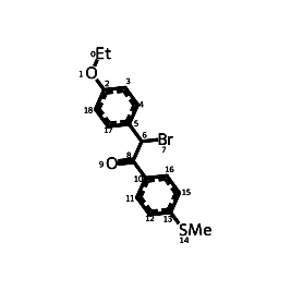 CCOc1ccc(C(Br)C(=O)c2ccc(SC)cc2)cc1